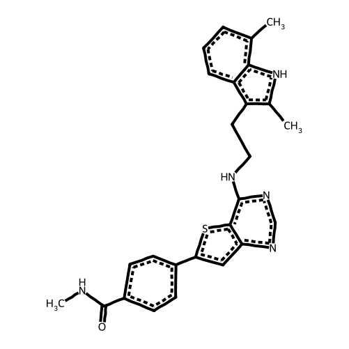 CNC(=O)c1ccc(-c2cc3ncnc(NCCc4c(C)[nH]c5c(C)cccc45)c3s2)cc1